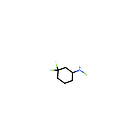 FNC1CCCC(F)(F)C1